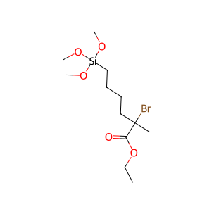 CCOC(=O)C(C)(Br)CCCC[Si](OC)(OC)OC